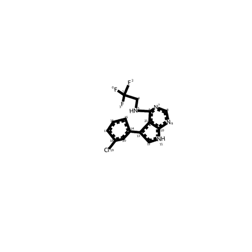 FC(F)(F)CNc1ncnc2[nH]cc(-c3cccc(Cl)c3)c12